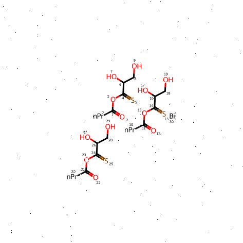 CCCC(=O)OC(=S)C(O)CO.CCCC(=O)OC(=S)C(O)CO.CCCC(=O)OC(=S)C(O)CO.[Bi]